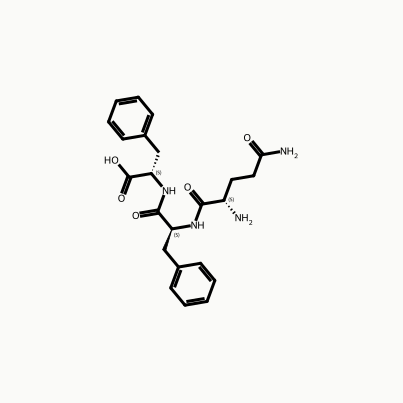 NC(=O)CC[C@H](N)C(=O)N[C@@H](Cc1ccccc1)C(=O)N[C@@H](Cc1ccccc1)C(=O)O